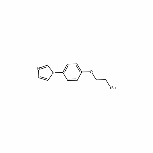 CC(C)(C)[CH]COc1ccc(-n2ccnc2)cc1